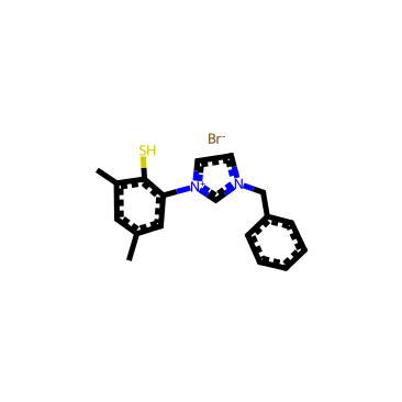 Cc1cc(C)c(S)c(-[n+]2ccn(Cc3ccccc3)c2)c1.[Br-]